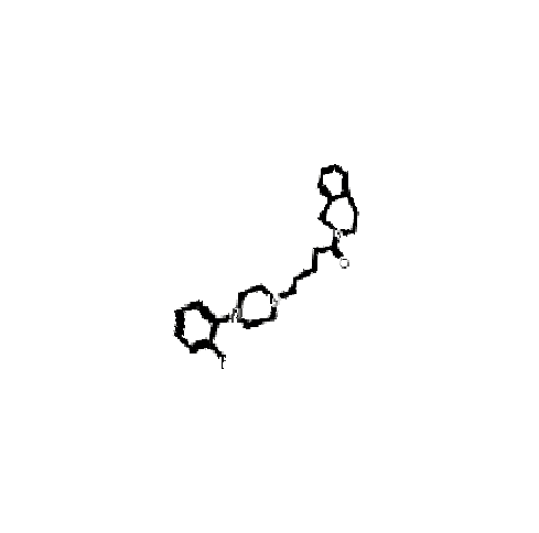 O=C(CCCCN1CCN(c2ccccc2F)CC1)N1CCc2ccccc2C1